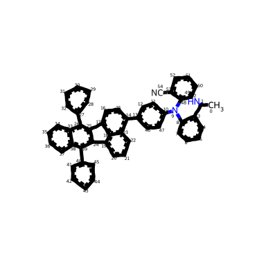 CC(=N)c1ccccc1N(c1ccc(-c2ccc3c4c(cccc24)-c2c-3c(-c3ccccc3)c3ccccc3c2-c2ccccc2)cc1)c1ccccc1C#N